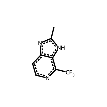 Cc1nc2ccnc(C(F)(F)F)c2[nH]1